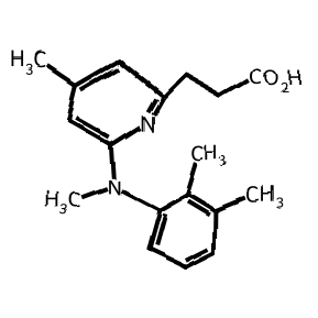 Cc1cc(CCC(=O)O)nc(N(C)c2cccc(C)c2C)c1